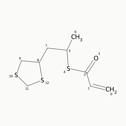 C=CC(=O)SC(C)CC1CSCS1